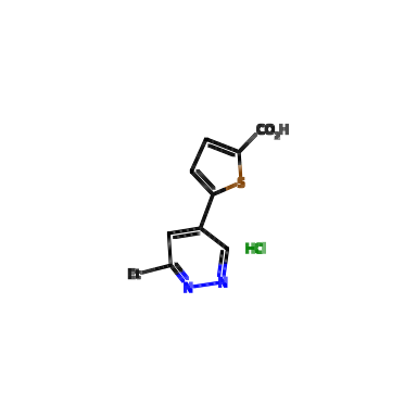 CCc1cc(-c2ccc(C(=O)O)s2)cnn1.Cl